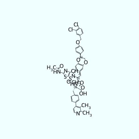 C=S(=O)(c1sc(NC(C)=O)nc1C)N1Cc2cc3c(cc2C[C@H]1C(=O)N[C@@H](Cc1ccc(-c2ccnc(C)c2C)cc1)C(=O)O)OC[C@H](c1ccc(OCc2ccc(Cl)c(Cl)c2)cc1)O3